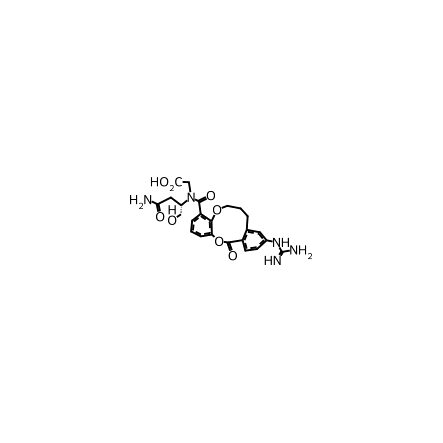 N=C(N)Nc1ccc2c(c1)CCCOc1c(cccc1C(=O)N(CC(=O)O)[C@H](CO)CC(N)=O)OC2=O